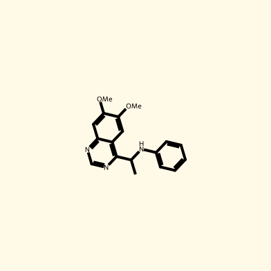 COc1cc2ncnc(C(C)Nc3ccccc3)c2cc1OC